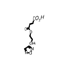 O=C(O)CCC(=O)OCCO.c1cnon1